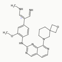 CN/C=C(\C=N)c1ccc(Nc2ncc3ccnc(N4CCCC5(COC5)C4)c3n2)c(OC)c1